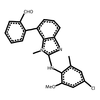 COc1cc(Cl)cc(C)c1Nc1nc2cccc(-c3ccccc3C=O)c2n1C